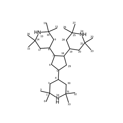 CC1(C)CC(C2CC(C3CC(C)(C)NC(C)(C)C3)C(C3CC(C)(C)NC(C)(C)C3)C2)CC(C)(C)N1